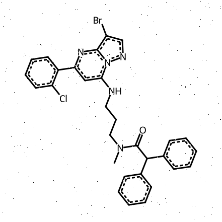 CN(CCCNc1cc(-c2ccccc2Cl)nc2c(Br)cnn12)C(=O)C(c1ccccc1)c1ccccc1